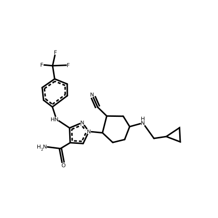 N#CC1CC(NCC2CC2)CCC1n1cc(C(N)=O)c(Nc2ccc(C(F)(F)F)cc2)n1